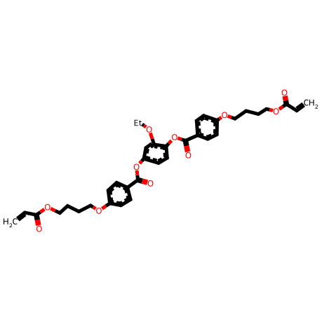 C=CC(=O)OCCCCOc1ccc(C(=O)Oc2ccc(OC(=O)c3ccc(OCCCCOC(=O)C=C)cc3)c(OCC)c2)cc1